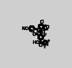 Cn1cc(C(O)(c2cc(F)c3c(c2)C(=O)N(Cc2ccc(C#N)cn2)[C@@]3(O[C@H]2CCOC2)c2ccc(Cl)cc2)C(F)(F)F)cn1